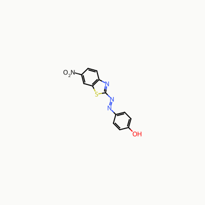 O=[N+]([O-])c1ccc2nc(N=Nc3ccc(O)cc3)sc2c1